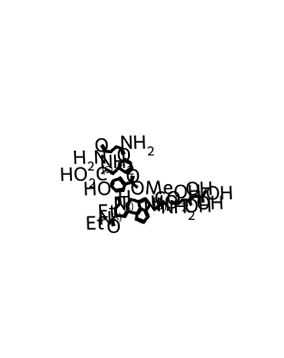 CCN(CC)C(=O)[C@@H]1C=C2c3cccc4[nH]cc(c34)C[C@H]2N(C)C1.COC(=O)c1ccc(O)cc1.C[C@H](N)C(=O)O.NC(=O)CCC(N)=O.N[C@@H](Cc1ccccc1)C(=O)O.OCC(O)C(O)C(O)C(O)CO